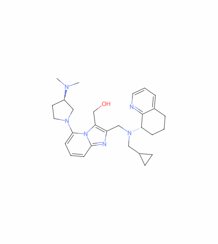 CN(C)[C@@H]1CCN(c2cccc3nc(CN(CC4CC4)[C@H]4CCCc5cccnc54)c(CO)n23)C1